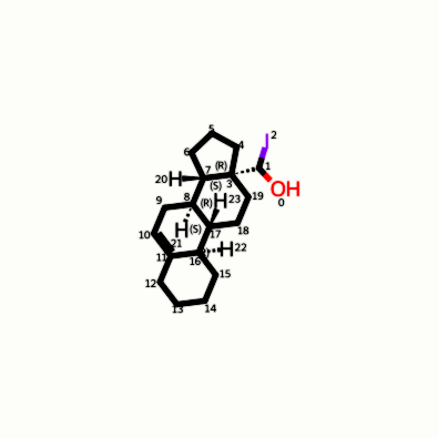 OC(I)[C@@]12CCC[C@H]1[C@@H]1CC=C3CCCC[C@@H]3[C@H]1CC2